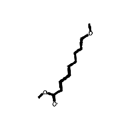 COCCCCCCCCC([O])OC